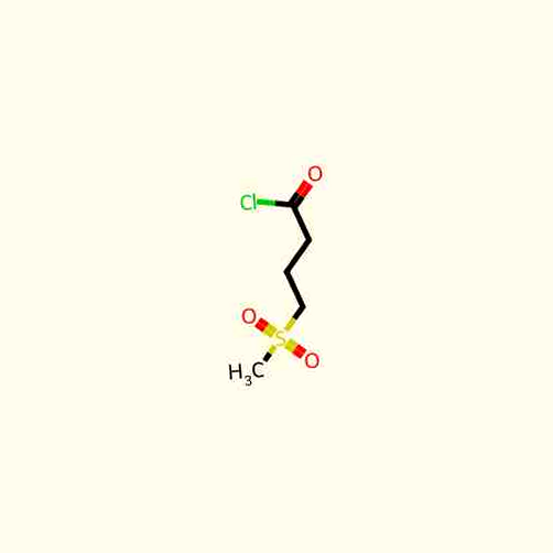 CS(=O)(=O)CCCC(=O)Cl